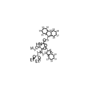 CCOC(CN(Cc1csc2ccccc12)C(=O)[C@H](C)NC(=O)OCC1c2ccccc2-c2ccccc21)OCC